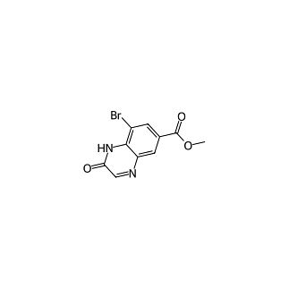 COC(=O)c1cc(Br)c2[nH]c(=O)cnc2c1